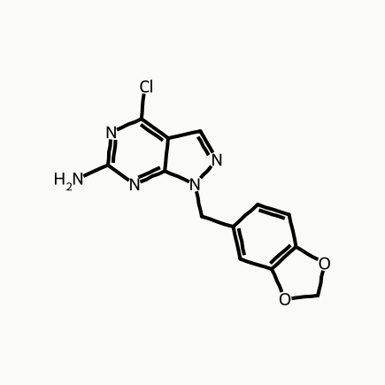 Nc1nc(Cl)c2cnn(Cc3ccc4c(c3)OCO4)c2n1